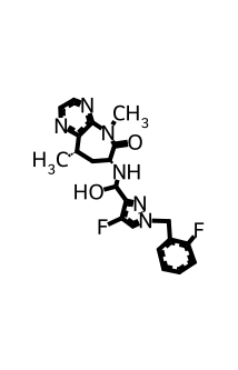 C[C@H]1C[C@@H](NC(O)c2nn(Cc3ccccc3F)cc2F)C(=O)N(C)c2nccnc21